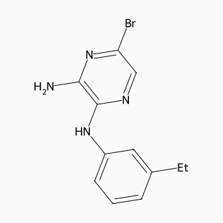 CCc1cccc(Nc2ncc(Br)nc2N)c1